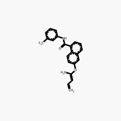 C=C/C=C(\N)Oc1ccc2c(C(=O)Nc3cccc(C(F)(F)F)c3)cccc2c1